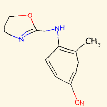 Cc1cc(O)ccc1NC1=NCCO1